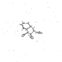 CCCCC1=Cc2ccccc2C(=O)C1=O